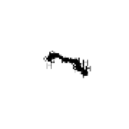 O=C1CC[C@H](N2Cc3cc(CCCCN4CC5(C4)CN(c4ccc(-c6cnc7[nH]cc(C(=O)c8c(F)ccc(NS(=O)(=O)N9CC[C@@H](F)C9)c8F)c7c6)cc4)C5)ccc3C2=O)C(=O)N1